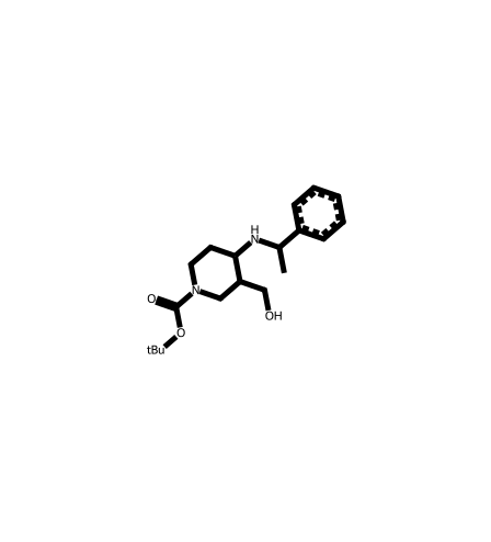 CC(NC1CCN(C(=O)OC(C)(C)C)CC1CO)c1ccccc1